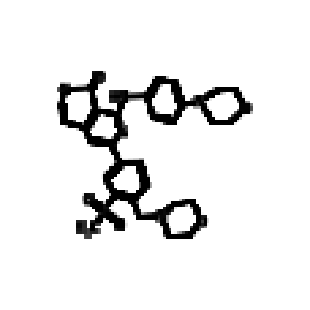 CS(=O)(=O)c1cc(-c2cc3c(c(Nc4ccc(N5CCOCC5)cc4)n2)C(=O)[N]C=C3)ccc1CN1CCOCC1